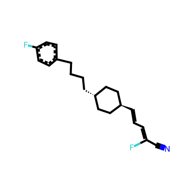 N#CC(F)=CC=C[C@H]1CC[C@H](CCCCc2ccc(F)cc2)CC1